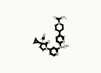 CC(=O)N1CCC(c2ccc(Nc3cc(N4CC[C@@](C#N)(C5CC5)C4=O)ccn3)nc2)CC1.Cl